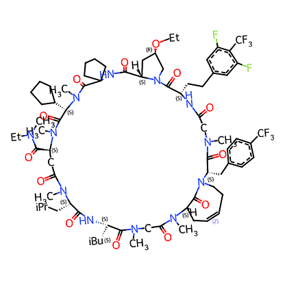 CCO[C@@H]1C[C@H]2C(=O)NC3(CCCC3)C(=O)N(C)[C@@H](C3CCCC3)C(=O)N(C)[C@H](C(=O)N(C)CC)CC(=O)N(C)[C@@H](CC(C)C)C(=O)N[C@@H]([C@@H](C)CC)C(=O)N(C)CC(=O)N(C)[C@H]3C/C=C\CCN(C3=O)[C@@H](Cc3ccc(C(F)(F)F)cc3)C(=O)N(C)CC(=O)N[C@@H](CCc3cc(F)c(C(F)(F)F)c(F)c3)C(=O)N2C1